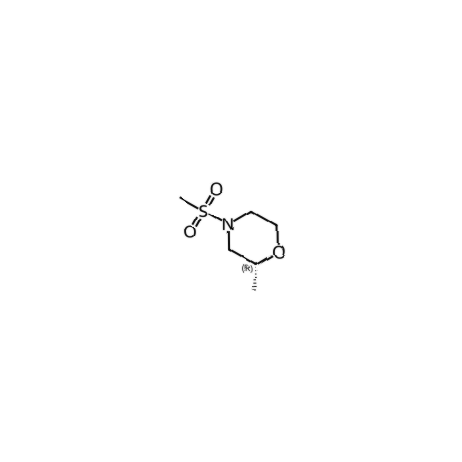 C[C@@H]1CN(S(C)(=O)=O)CCO1